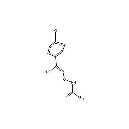 CC(=O)NON=C(C)c1ccc(Cl)cc1